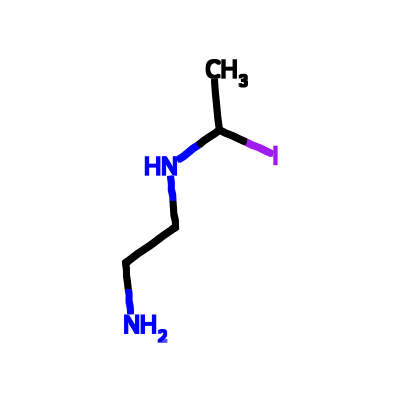 CC(I)NCCN